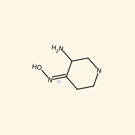 NC1C[N]CC/C1=N/O